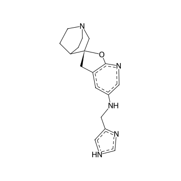 c1nc(CNc2cnc3c(c2)C[C@@]2(CN4CCC2CC4)O3)c[nH]1